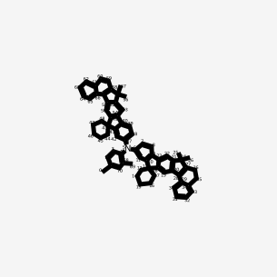 Cc1ccc(N(c2ccc3c(c2)C2(CCCCC2)c2cc4c(cc2-3)C(C)(C)C2=C4c3ccccc3CC2)c2ccc3c(c2)C2(CCCCC2)c2cc4c(cc2-3)C(C)(C)c2ccc3ccccc3c2-4)c(C)c1